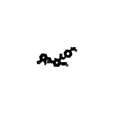 N[C@H]1CC[C@H](CNc2nc(NCc3cccc(Cl)c3F)ncc2[N+](=O)[O-])CC1